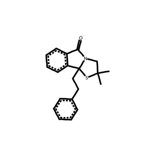 CC1(C)CN2C(=O)c3ccccc3C2(CCc2ccccc2)S1